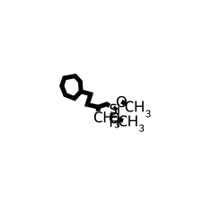 CO[SiH](CC(C)CCC1CCCCCC1)OC